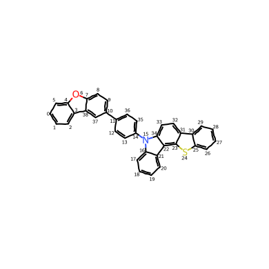 c1ccc2c(c1)oc1ccc(-c3ccc(-n4c5ccccc5c5c6sc7ccccc7c6ccc54)cc3)cc12